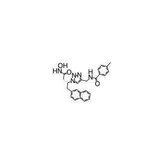 Cc1ccc(C(=O)NCc2cn([C@@H](CC(=O)NO)Cc3ccc4ccccc4c3)nn2)cc1